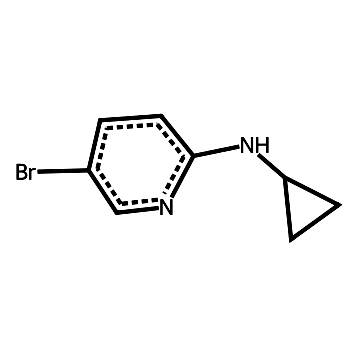 Brc1ccc(NC2CC2)nc1